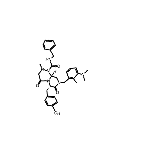 Cc1c(CN2C[C@@H]3N(C(=O)CN(C)N3C(=O)NCc3ccccc3)[C@@H](Cc3ccc(O)cc3)C2=O)cccc1N(C)C